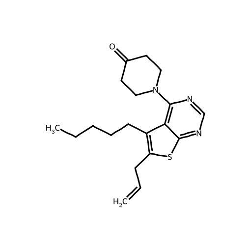 C=CCc1sc2ncnc(N3CCC(=O)CC3)c2c1CCCCC